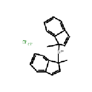 C[C]1([Ti+2][C]2(C)C=Cc3ccccc32)C=Cc2ccccc21.[Cl-].[Cl-]